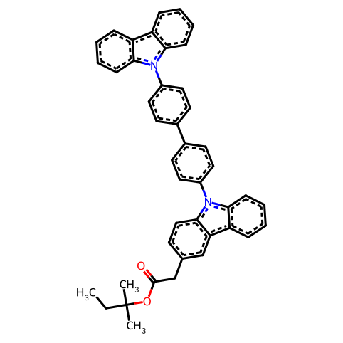 CCC(C)(C)OC(=O)Cc1ccc2c(c1)c1ccccc1n2-c1ccc(-c2ccc(-n3c4ccccc4c4ccccc43)cc2)cc1